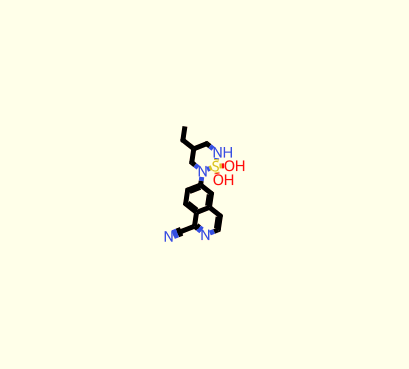 CCC1CNS(O)(O)N(c2ccc3c(C#N)nccc3c2)C1